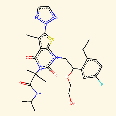 CCc1ccc(F)cc1C(Cn1c(=O)n(C(C)(C)C(=O)NC(C)C)c(=O)c2c(C)c(-n3nccn3)sc21)OCCO